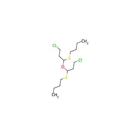 CCCCSC(CCCl)OC(CCCl)SCCCC